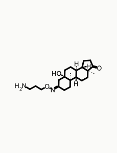 C[C@]12CC[C@H]3[C@@H](CC[C@@]4(O)CC(=NOCCCN)CC[C@]34C)[C@@H]1CCC2=O